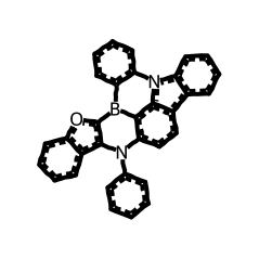 c1ccc(N2c3ccc4c5ccccc5n5c4c3B(c3ccccc3-5)c3oc4ccccc4c32)cc1